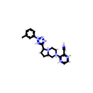 Cc1cccc(-n2nnc(C3CCC4CN(c5nccnc5C#N)CCN43)n2)c1